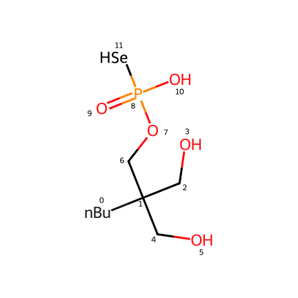 CCCCC(CO)(CO)COP(=O)(O)[SeH]